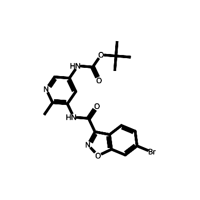 Cc1ncc(NC(=O)OC(C)(C)C)cc1NC(=O)c1noc2cc(Br)ccc12